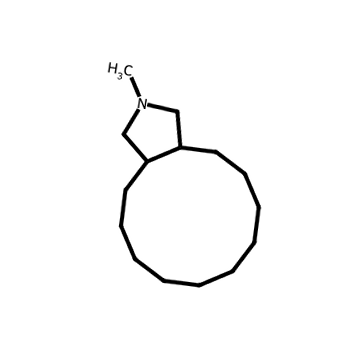 CN1CC2CCCCCCCCCCC2C1